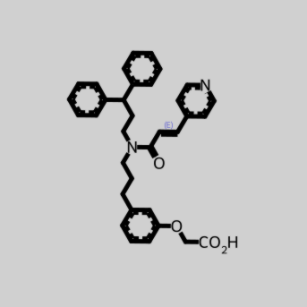 O=C(O)COc1cccc(CCCN(CCC(c2ccccc2)c2ccccc2)C(=O)/C=C/c2ccncc2)c1